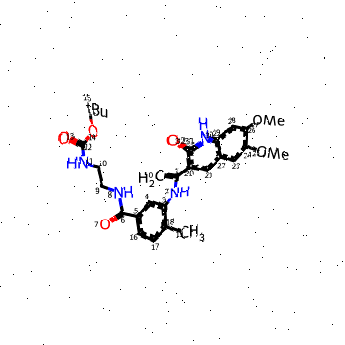 C=C(Nc1cc(C(=O)NCCNC(=O)OC(C)(C)C)ccc1C)c1cc2cc(OC)c(OC)cc2[nH]c1=O